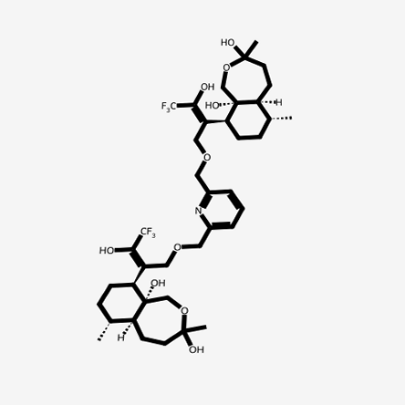 C[C@@H]1CC[C@@H](/C(COCc2cccc(COC/C(=C(/O)C(F)(F)F)[C@@H]3CC[C@@H](C)[C@@H]4CCC(C)(O)OC[C@]34O)n2)=C(\O)C(F)(F)F)[C@@]2(O)COC(C)(O)CC[C@@H]12